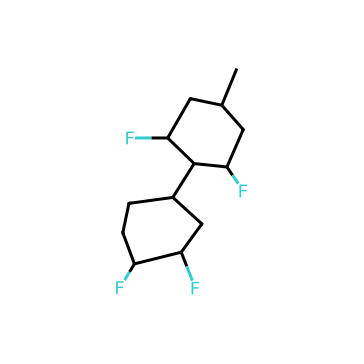 CC1CC(F)C(C2CCC(F)C(F)C2)C(F)C1